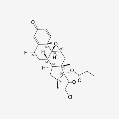 CCC(=O)O[C@]1(C(=O)CCl)[C@@H](C)C[C@H]2[C@@H]3C[C@H](F)C4=CC(=O)C=C[C@]4(C)[C@@]34O[C@H]4C[C@@]21C